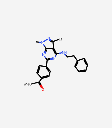 CCc1nn(C)c2nc(-c3ccc(C(=O)OC)cc3)nc(NCCc3ccccc3)c12